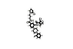 CCc1onc(C)c1C(=O)Nc1cc(C(=O)NCCCN2CCCC2=O)ccc1N1CCN(c2ccccc2C)CC1